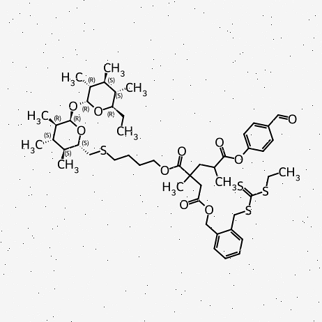 CCSC(=S)SCc1ccccc1COC(=O)CC(C)(CC(C)C(=O)Oc1ccc(C=O)cc1)C(=O)OCCCCSC[C@H]1O[C@H](O[C@H]2O[C@H](CC)[C@@H](C)[C@H](C)[C@H]2C)[C@H](C)[C@@H](C)[C@@H]1C